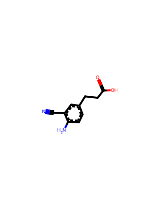 N#Cc1cc(CCC(=O)O)ccc1N